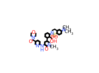 CN(C)c1ccc2c(c1)CCN(c1cccc(-c3cc(Nc4ccc(C(=O)N5CCOCC5)cn4)c(=O)n(C)c3)c1CO)S2(=O)=O